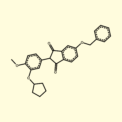 COc1ccc(C2C(=O)c3ccc(OCc4ccccc4)cc3C2=O)cc1OC1CCCC1